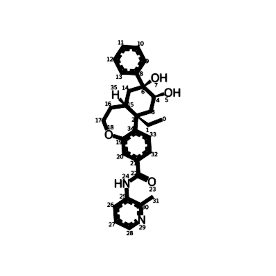 CC[C@]12C[C@H](O)[C@@](O)(c3ccccc3)C[C@H]1CCOc1cc(C(=O)Nc3cccnc3C)ccc12